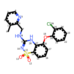 Cc1cccnc1CNC1=NS(=O)(=O)c2cccc(Oc3ccccc3Cl)c2N1